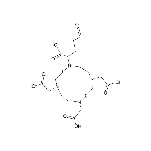 O=CCCC(C(=O)O)N1CCN(CC(=O)O)CCN(CC(=O)O)CCN(CC(=O)O)CC1